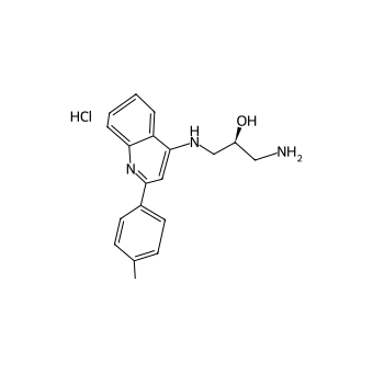 Cc1ccc(-c2cc(NC[C@@H](O)CN)c3ccccc3n2)cc1.Cl